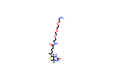 CC(CCCC(=O)NCCOCCOCCOCCN)[C@@H]1SC[C@@H]2NC(=O)N[C@@H]21